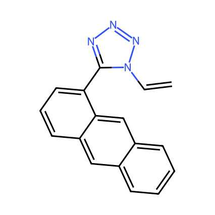 C=Cn1nnnc1-c1cccc2cc3ccccc3cc12